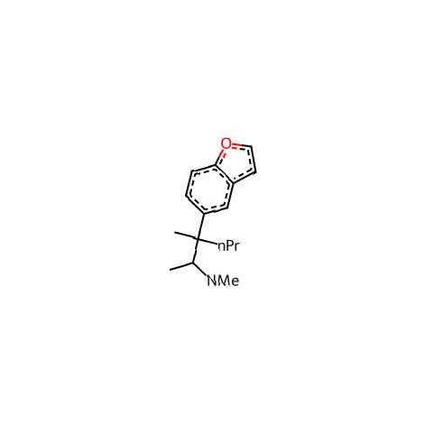 CCCC(C)(c1ccc2occc2c1)C(C)NC